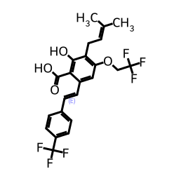 CC(C)=CCc1c(OCC(F)(F)F)cc(/C=C/c2ccc(C(F)(F)F)cc2)c(C(=O)O)c1O